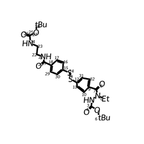 CCN(NC(=O)OC(C)(C)C)C(=O)c1ccc(SSc2ccc(C(=O)NCCNC(=O)OC(C)(C)C)cc2)cc1